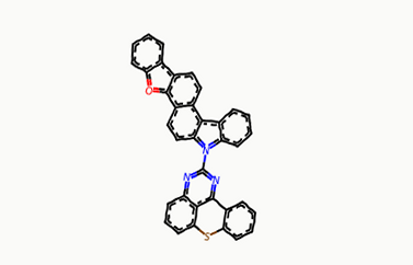 c1ccc2c(c1)Sc1cccc3nc(-n4c5ccccc5c5c6ccc7c8ccccc8oc7c6ccc54)nc-2c13